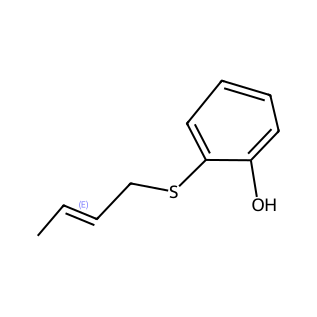 C/C=C/CSc1ccccc1O